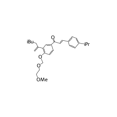 C=C(CC(C)CC)c1cc(C(=O)/C=C/c2ccc(C(C)C)cc2)ccc1OCOCCOC